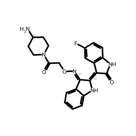 NC1CCN(C(=O)CO/N=C2/C(=C3/C(=O)Nc4ccc(F)cc43)Nc3ccccc32)CC1